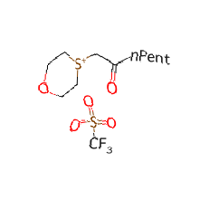 CCCCCC(=O)C[S+]1CCOCC1.O=S(=O)([O-])C(F)(F)F